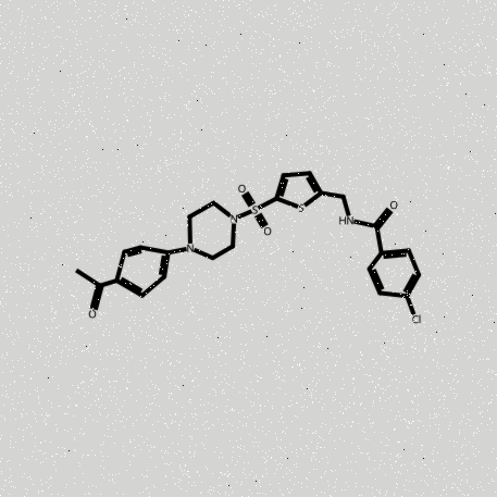 CC(=O)c1ccc(N2CCN(S(=O)(=O)c3ccc(CNC(=O)c4ccc(Cl)cc4)s3)CC2)cc1